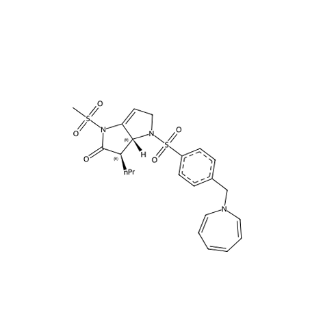 CCC[C@H]1C(=O)N(S(C)(=O)=O)C2=CCN(S(=O)(=O)c3ccc(CN4C=CC=CC=C4)cc3)[C@@H]21